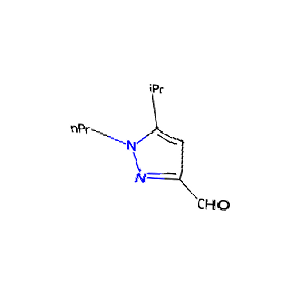 CCCn1nc(C=O)cc1C(C)C